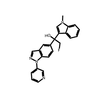 Cn1cc(C(O)(CF)c2ccc3c(cnn3-c3cccnc3)c2)c2ccccc21